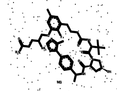 Cc1cc(CCCC(=O)NC(C(=O)N2C[C@H](O)C[C@H]2C(=O)NC(C)c2ccc(-c3scnc3C)cc2)C(C)(C)C)c(F)c(OCC(N)CCC(N)=O)c1.Cl